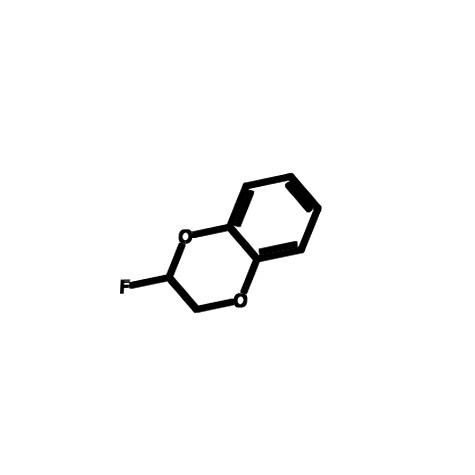 FC1COc2ccccc2O1